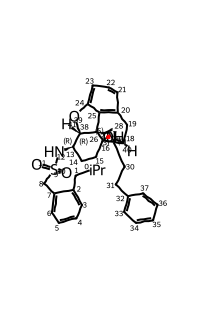 CC(C)Cc1ccccc1CS(=O)(=O)N[C@@H]1CC[C@@]2(O)[C@H]3Cc4cccc5c4[C@@]2(CCN3CCc2ccccc2)[C@H]1O5